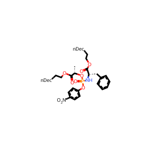 CCCCCCCCCCCCOC(=O)[C@H](Cc1ccccc1)NP(=O)(Oc1ccc([N+](=O)[O-])cc1)O[C@@H](C)C(=O)OCCCCCCCCCCCC